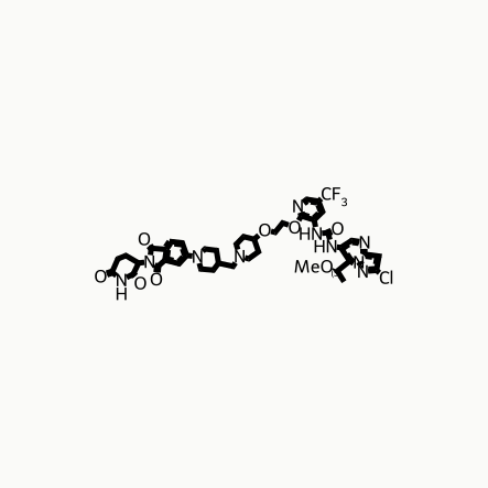 CO[C@@H](C)c1c(NC(=O)Nc2cc(C(F)(F)F)cnc2OCCOC2CCN(CC3CCN(c4ccc5c(c4)C(=O)N(C4CCC(=O)NC4=O)C5=O)CC3)CC2)cnc2cc(Cl)nn12